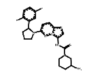 NC1CCCN(C(=O)Nc2cnc3ccc(N4CCCC4c4cc(F)ccc4F)nn23)C1